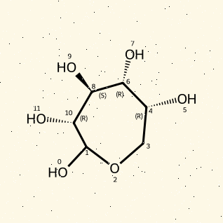 OC1OC[C@@H](O)[C@@H](O)[C@H](O)[C@H]1O